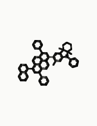 Cc1cc2c(cc1-c1cc(-c3ccccc3)c3ccc4c(-c5cccc6ccccc56)cc(-c5ccccc5)c5ccc1c3c54)C1(C)CCCCC1(C)N2c1ccccc1